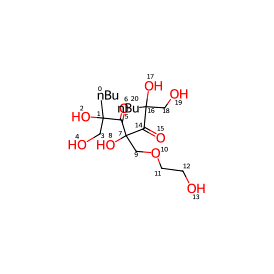 CCCCC(O)(CO)C(=O)C(O)(COCCO)C(=O)C(O)(CO)CCCC